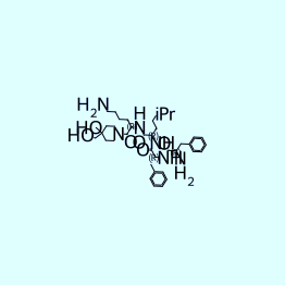 CC(C)CC[C@@H](NC(=O)[C@@H](Cc1ccccc1)NC(=O)[C@H](N)Cc1ccccc1)C(=O)N[C@H](CCCCN)C(=O)N1CCC(O)(CO)CC1